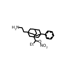 CCC(O[N+](=O)[O-])C12CC3CC(CCN)(CC(c4ccccc4)(C3)C1)C2